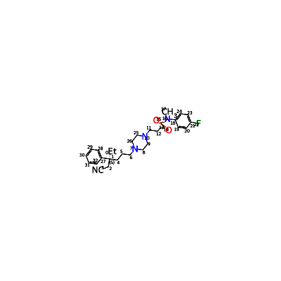 CC[C@@](CC#N)(CCCN1CCN(CCS(=O)(=O)N(C)c2ccc(F)cc2)CC1)c1ccccc1